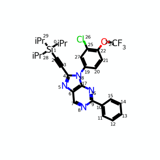 CC(C)[Si](C#Cc1nc2cnc(-c3ccccc3)nc2n1-c1ccc(OC(F)(F)F)c(Cl)c1)(C(C)C)C(C)C